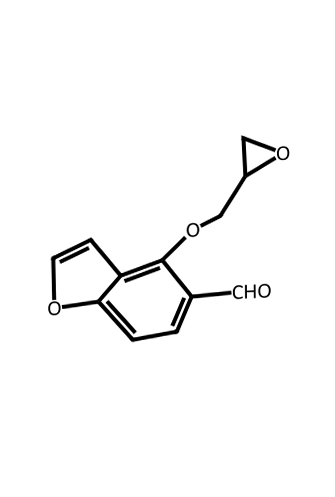 O=Cc1ccc2occc2c1OCC1CO1